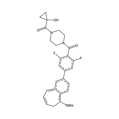 CNC1=c2ccc(-c3cc(F)c(C(=O)N4CCN(C(=O)C5(O)CC5)CC4)c(F)c3)cc2=CC=CC1